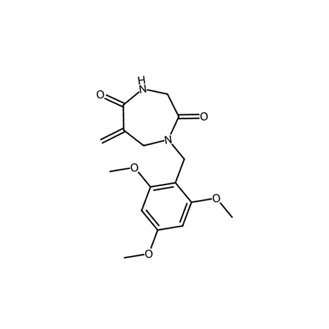 C=C1CN(Cc2c(OC)cc(OC)cc2OC)C(=O)CNC1=O